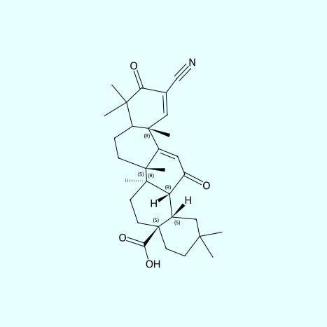 CC1(C)CC[C@]2(C(=O)O)CC[C@]3(C)[C@H](C(=O)C=C4[C@@]5(C)C=C(C#N)C(=O)C(C)(C)C5CC[C@]43C)[C@@H]2C1